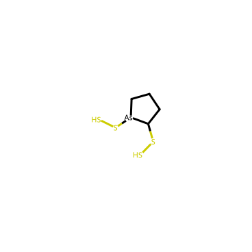 SSC1CCC[As]1SS